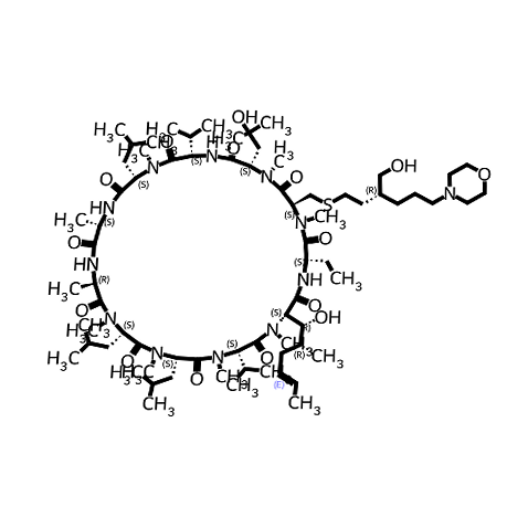 C/C=C/C[C@@H](C)[C@@H](O)[C@H]1C(=O)N[C@@H](CC)C(=O)N(C)[C@H](CSCC[C@H](CO)CCCN2CCOCC2)C(=O)N(C)[C@@H](CC(C)(C)O)C(=O)N[C@@H](C(C)C)C(=O)N(C)[C@@H](CC(C)C)C(=O)N[C@@H](C)C(=O)N[C@H](C)C(=O)N(C)[C@@H](CC(C)C)C(=O)N(C)[C@@H](CC(C)C)C(=O)N(C)[C@@H](C(C)C)C(=O)N1C